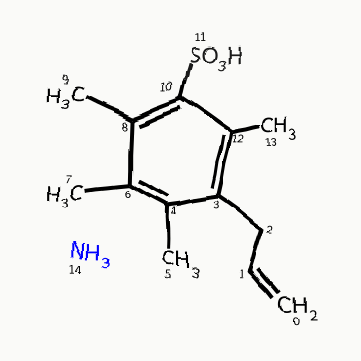 C=CCc1c(C)c(C)c(C)c(S(=O)(=O)O)c1C.N